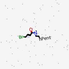 CCCCCCCN(C)C(=O)/C=C/CBr